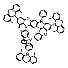 Cc1cccc(C)c1N(c1cc2c3c(c1)Oc1cc4c(cc1B3c1ccccc1O2)B1c2cc3c(cc2Oc2cc(N(c5c(C)cccc5C)c5c(C)cccc5C)cc(c21)O4)N(c1ccccc1)c1cc(N(c2c(C)cccc2C)c2c(C)cccc2C)cc2c1B3c1ccccc1O2)c1c(C)cccc1C